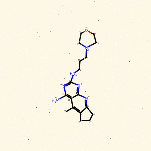 Cc1c2c(nc3nc(NCCCN4CCOCC4)nc(N)c13)CCC2